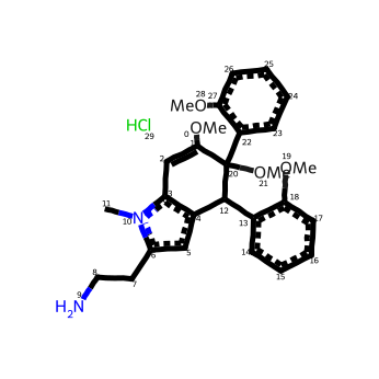 COC1=Cc2c(cc(CCN)n2C)C(c2ccccc2OC)C1(OC)c1ccccc1OC.Cl